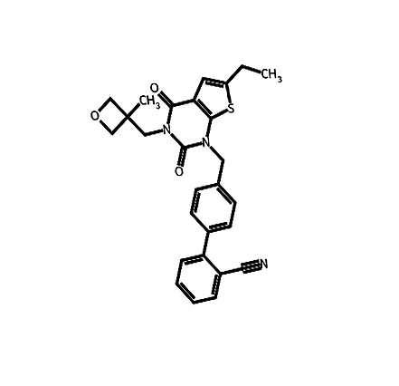 CCc1cc2c(=O)n(CC3(C)COC3)c(=O)n(Cc3ccc(-c4ccccc4C#N)cc3)c2s1